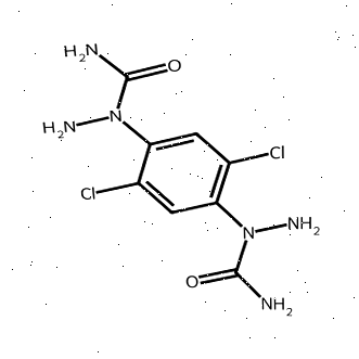 NC(=O)N(N)c1cc(Cl)c(N(N)C(N)=O)cc1Cl